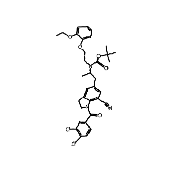 CCOc1ccccc1OCCN(C(=O)OC(C)(C)C)C(C)Cc1cc(C#N)c2c(c1)CCN2C(=O)c1ccc(Cl)c(Cl)c1